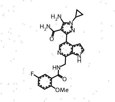 COc1ccc(F)cc1C(=O)NCc1ncc(-c2nn(C3CC3)c(N)c2C(N)=O)c2cc[nH]c12